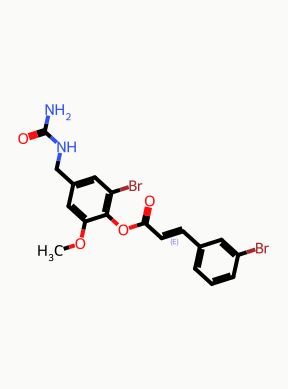 COc1cc(CNC(N)=O)cc(Br)c1OC(=O)/C=C/c1cccc(Br)c1